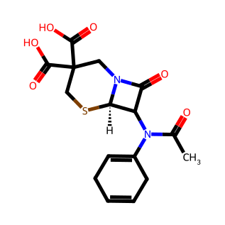 CC(=O)N(C1=CCC=CC1)C1C(=O)N2CC(C(=O)O)(C(=O)O)CS[C@H]12